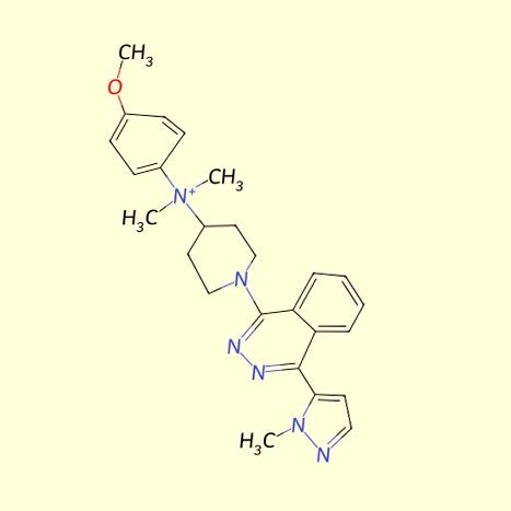 COc1ccc([N+](C)(C)C2CCN(c3nnc(-c4ccnn4C)c4ccccc34)CC2)cc1